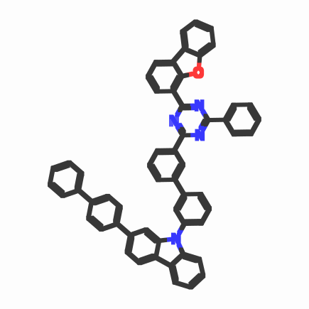 c1ccc(-c2ccc(-c3ccc4c5ccccc5n(-c5cccc(-c6cccc(-c7nc(-c8ccccc8)nc(-c8cccc9c8oc8ccccc89)n7)c6)c5)c4c3)cc2)cc1